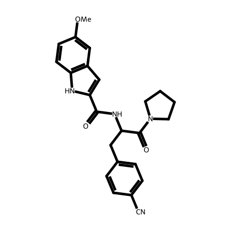 COc1ccc2[nH]c(C(=O)NC(Cc3ccc(C#N)cc3)C(=O)N3CCCC3)cc2c1